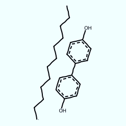 Oc1ccc(-c2ccc(O)cc2)cc1.[CH2]CCCCCCCCCCC